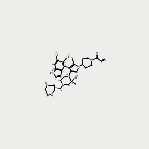 C=CC(=O)N1CCC(n2nc(N3CCN(C[C@@H]4COCCO4)C[C@]3(C)CC)c(-c3c(Cl)c(Cl)cc4[nH]ncc34)c2C)CC1